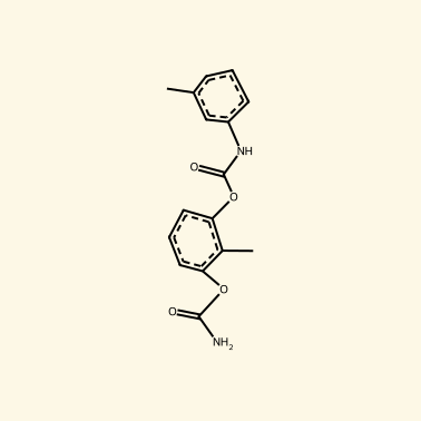 Cc1cccc(NC(=O)Oc2cccc(OC(N)=O)c2C)c1